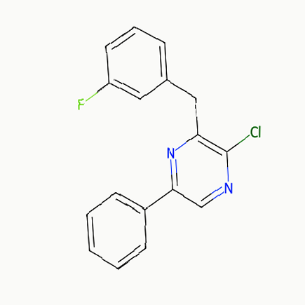 Fc1cccc(Cc2nc(-c3ccccc3)cnc2Cl)c1